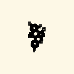 Cc1nc(Cl)n(-c2c(F)cc(F)cc2Cl)c1C(O)c1ccc(F)cc1Cl